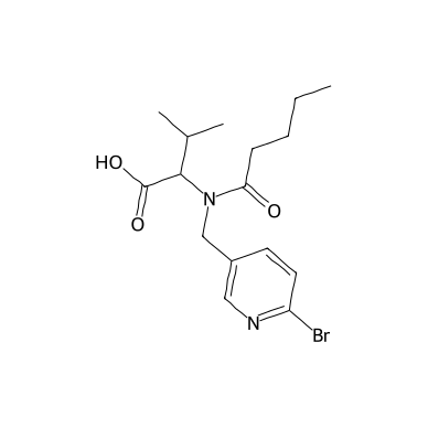 CCCCC(=O)N(Cc1ccc(Br)nc1)C(C(=O)O)C(C)C